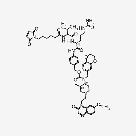 COc1ccc2ncc(=O)n(CCN3CC[C@@H](N(Cc4cc5c(cn4)OCCO5)C(=O)OCc4ccc(NC(=O)[C@H](CCCNC(N)=O)NC(=O)C(NC(=O)CCCCCN5C(=O)C=CC5=O)C(C)C)cc4)[C@H](F)C3)c2c1